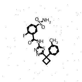 Cc1cccc(C2(c3nnc(NC(=O)c4cc(S(N)(=O)=O)ccc4F)s3)CCC2)c1